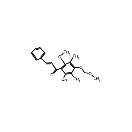 COCOc1c(C)c(O)c(C(=O)C=Cc2ccccc2)c(OC)c1C